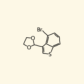 Brc1cccc2scc(C3OCCO3)c12